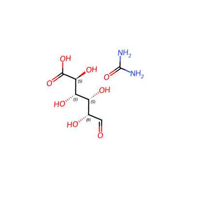 NC(N)=O.O=C[C@H](O)[C@@H](O)[C@H](O)[C@H](O)C(=O)O